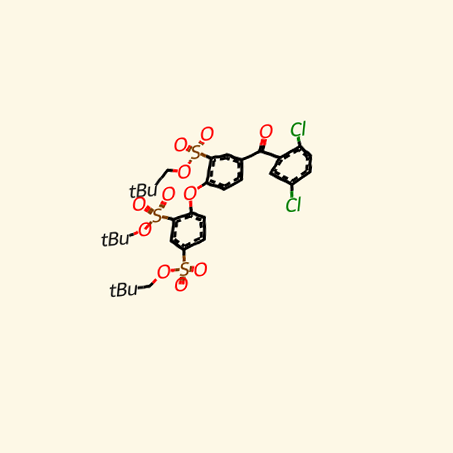 CC(C)(C)COS(=O)(=O)c1ccc(Oc2ccc(C(=O)c3cc(Cl)ccc3Cl)cc2S(=O)(=O)OCC(C)(C)C)c(S(=O)(=O)OC(C)(C)C)c1